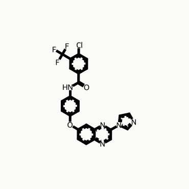 O=C(Nc1ccc(Oc2ccc3ncc(-n4ccnc4)nc3c2)cc1)c1ccc(Cl)c(C(F)(F)F)c1